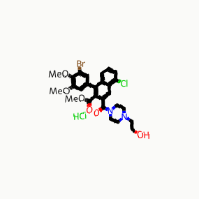 COC(=O)c1c(C(=O)N2CCN(CCO)CC2)cc2c(Cl)cccc2c1-c1cc(Br)c(OC)c(OC)c1.Cl